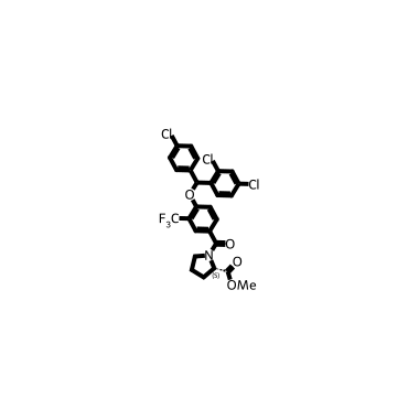 COC(=O)[C@@H]1CCCN1C(=O)c1ccc(OC(c2ccc(Cl)cc2)c2ccc(Cl)cc2Cl)c(C(F)(F)F)c1